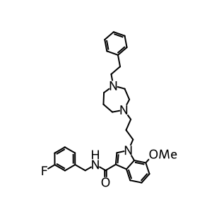 COc1cccc2c(C(=O)NCc3cccc(F)c3)cn(CCCN3CCCN(CCc4ccccc4)CC3)c12